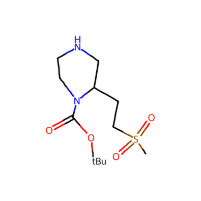 CC(C)(C)OC(=O)N1CCNCC1CCS(C)(=O)=O